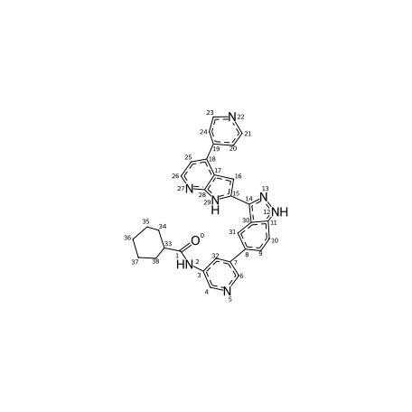 O=C(Nc1cncc(-c2ccc3[nH]nc(-c4cc5c(-c6ccncc6)ccnc5[nH]4)c3c2)c1)C1CCCCC1